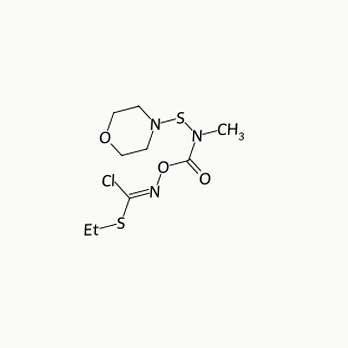 CCSC(Cl)=NOC(=O)N(C)SN1CCOCC1